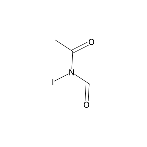 CC(=O)N(I)C=O